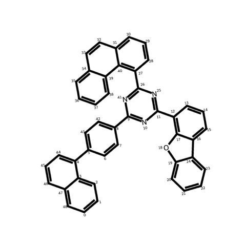 c1ccc2c(-c3ccc(-c4nc(-c5cccc6c5oc5ccccc56)nc(-c5cccc6ccc7ccccc7c56)n4)cc3)cccc2c1